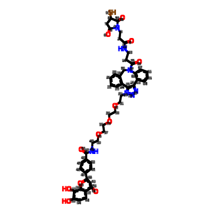 O=C(CCN1C(=O)CC(S)C1=O)NCCC(=O)N1Cc2ccccc2-c2c(nnn2CCOCCOCCOCCNC(=O)c2ccc(-c3cc(=O)c4ccc(O)c(O)c4o3)cc2)-c2ccccc21